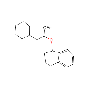 CC(=O)OC(CC1CCCCC1)OC1CCCc2ccccc21